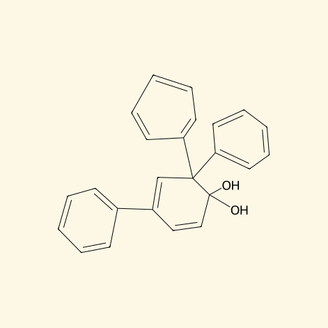 OC1(O)C=CC(c2ccccc2)=CC1(c1ccccc1)c1ccccc1